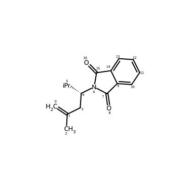 C=C(C)C[C@H](C(C)C)N1C(=O)c2ccccc2C1=O